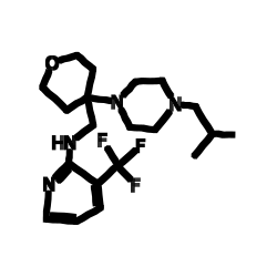 CC(C)CN1CCN(C2(CNc3ncccc3C(F)(F)F)CCOCC2)CC1